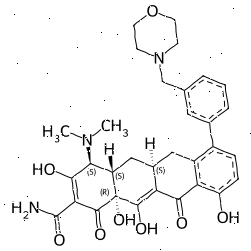 CN(C)[C@@H]1C(O)=C(C(N)=O)C(=O)[C@]2(O)C(O)=C3C(=O)c4c(O)ccc(-c5cccc(CN6CCOCC6)c5)c4C[C@@H]3C[C@@H]12